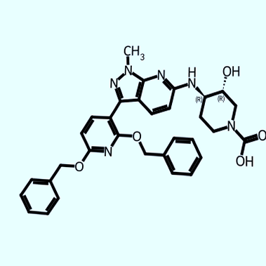 Cn1nc(-c2ccc(OCc3ccccc3)nc2OCc2ccccc2)c2ccc(N[C@@H]3CCN(C(=O)O)C[C@H]3O)nc21